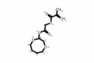 C=C(C)C(=O)OCC(=O)OC1COCCCCO1